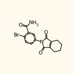 NC(=O)c1cc(N2C(=O)C3=C(CCCC3)C2=O)ccc1Br